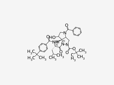 CC(C)C[C@H](NC(=O)c1ccc(C(C)(C)C)cc1)C(=O)N1[C@@H]2C(O)CN(C(=O)c3ccccc3)C2CN1C(=O)OC(C)(C)C